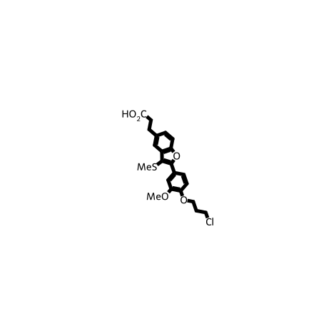 COc1cc(-c2oc3ccc(CCC(=O)O)cc3c2SC)ccc1OCCCCl